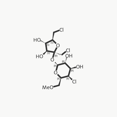 COC[C@H]1O[C@H](O[C@]2(CCl)O[C@H](CCl)[C@@H](O)[C@@H]2O)[C@H](O)[C@@H](O)[C@H]1Cl